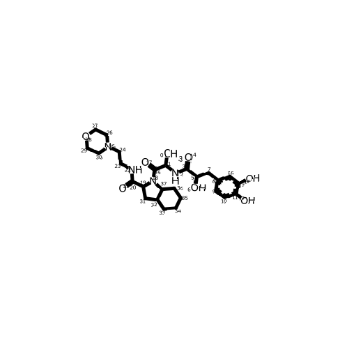 CC(NC(=O)C(O)Cc1ccc(O)c(O)c1)C(=O)N1C(C(=O)NCCN2CCOCC2)CC2CCCCC21